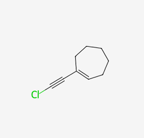 ClC#CC1=CCCCCC1